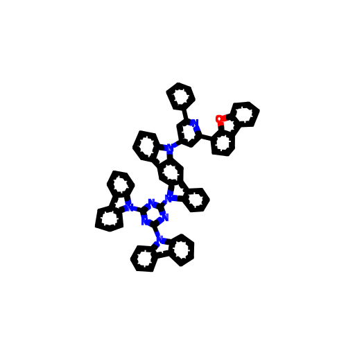 c1ccc(-c2cc(-n3c4ccccc4c4cc5c(cc43)c3ccccc3n5-c3nc(-n4c5ccccc5c5ccccc54)nc(-n4c5ccccc5c5ccccc54)n3)cc(-c3cccc4c3oc3ccccc34)n2)cc1